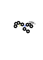 CC1(C)c2ccccc2-c2cc(N(c3cccc(-c4ccccc4)c3)c3ccc4c(c3)sc3c4ccc4ccc5ccccc5c43)ccc21